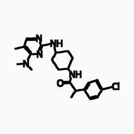 Cc1cnc(NC2CCC(NC(=O)C(C)c3ccc(Cl)cc3)CC2)nc1N(C)C